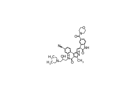 CCN(CC)CC(O)CNC(=O)c1c(C)[nH]c(/C=C2\C(=O)Nc3ccc(C(=O)N4CCOCC4)cc32)c1-c1ccc(C#N)cc1